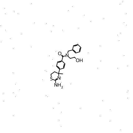 CC1(c2ccc(C(=O)N(CCO)Cc3ccccc3)cc2)CCSC(N)=N1